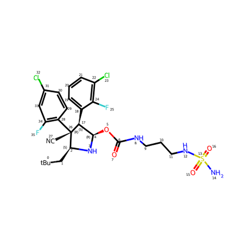 CC(C)(C)C[C@@H]1N[C@H](OC(=O)NCCCNS(N)(=O)=O)[C@H](c2cccc(Cl)c2F)[C@@]1(C#N)c1ccc(Cl)cc1F